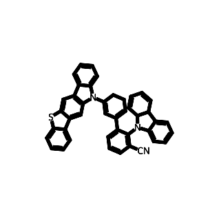 N#Cc1cccc(C2=CCCC(n3c4ccccc4c4cc5sc6ccccc6c5cc43)=C2)c1N1c2ccccc2C2C=CC=CC21